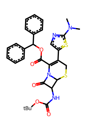 CN(C)c1ncc(C2=C(C(=O)OC(c3ccccc3)c3ccccc3)N3C(=O)C(NC(=O)OC(C)(C)C)C3SC2)s1